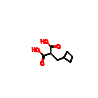 O=C(O)C(CC1CCC1)C(=O)O